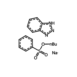 CCCCOS(=O)(=O)c1ccccc1.[Na].c1ccc2[nH]nnc2c1